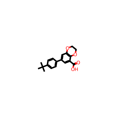 CC(C)(C)c1ccc(-c2cc3c(c(C(=O)O)c2)OCCO3)cc1